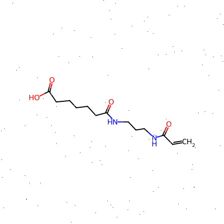 C=CC(=O)NCCCNC(=O)CCCCCC(=O)O